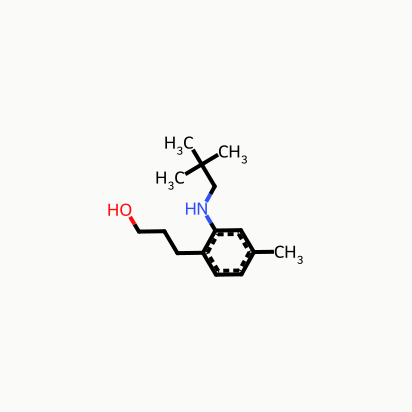 Cc1ccc(CCCO)c(NCC(C)(C)C)c1